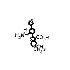 CC1(C)CCc2sc(-c3ccc(-c4ccsc4)cc3CNN)c(C(=O)O)c2C1